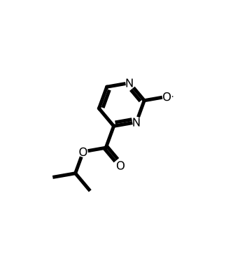 CC(C)OC(=O)c1ccnc([O])n1